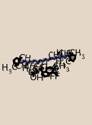 CC1=C(/C=C/C(C)=C/C=C/C(C)=C/C=C/C=C(C)/C=C/C=C(C)/C=C/C2=C(C)CCCC2(C)C)C(C)(C)CCC1.COc1ccc2c(C(=S)N(C)CC(=O)O)cccc2c1C(F)(F)F